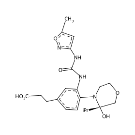 Cc1cc(NC(=O)Nc2cc(CCC(=O)O)ccc2N2CCOC[C@@]2(O)C(C)C)no1